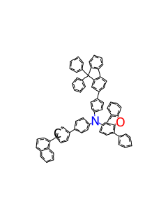 c1ccc(-c2ccc(N(c3ccc(-c4ccc(-c5cccc6ccccc56)cc4)cc3)c3ccc(-c4ccc5c(c4)C(c4ccccc4)(c4ccccc4)c4ccccc4-5)cc3)c3c2oc2ccccc23)cc1